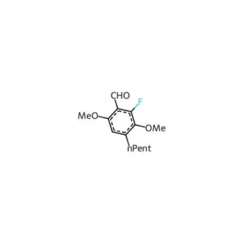 CCCCCc1cc(OC)c(C=O)c(F)c1OC